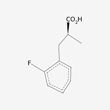 C[C@@H](Cc1ccccc1F)C(=O)O